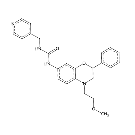 COCCN1CC(c2ccccc2)Oc2cc(NC(=O)NCc3ccncc3)ccc21